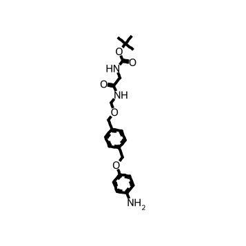 CC(C)(C)OC(=O)NCC(=O)NCOCc1ccc(COc2ccc(N)cc2)cc1